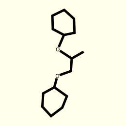 CC(COC1CCCCC1)OC1CCCCC1